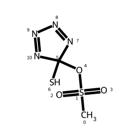 CS(=O)(=O)OC1(S)N=NN=N1